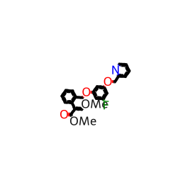 CO/C=C(/C(=O)OC)c1ccccc1COc1cc(F)cc(OCc2ccccn2)c1